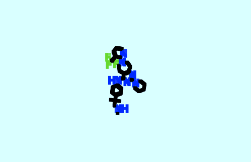 CNCC(C)(C)c1ccc(Nc2nc(N3CCCCC3)nc3c2CCN(c2ncccc2C(F)(F)F)CC3)cc1